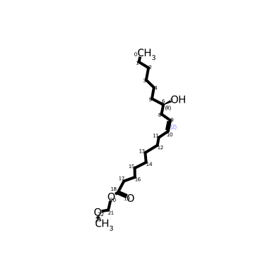 CCCCCC[C@@H](O)C/C=C\CCCCCCCC(=O)OCOC